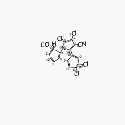 N#Cc1c(Cl)c(Cl)n(-c2ccccc2C(=O)O)c1-c1ccc(Cl)c(Cl)c1